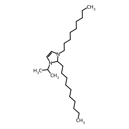 CCCCCCCCCCC1N(CCCCCCCCC)C=CN1C(C)C